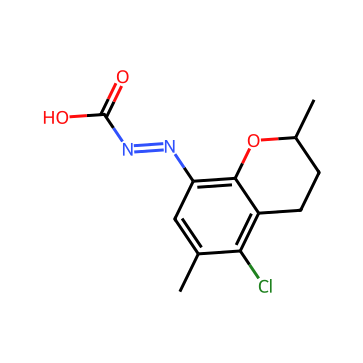 Cc1cc(/N=N/C(=O)O)c2c(c1Cl)CCC(C)O2